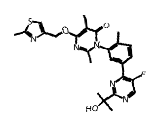 Cc1nc(COc2nc(C)n(-c3cc(-c4nc(C(C)(C)O)ncc4F)ccc3C)c(=O)c2C)cs1